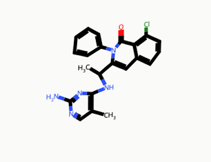 Cc1cnc(N)nc1NC(C)c1cc2cccc(Cl)c2c(=O)n1-c1ccccc1